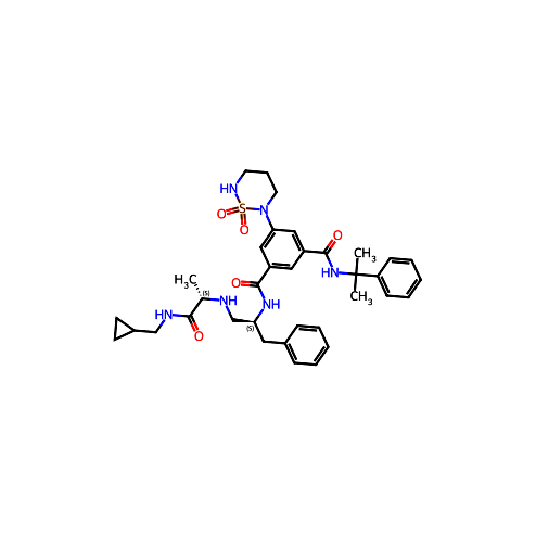 C[C@H](NC[C@H](Cc1ccccc1)NC(=O)c1cc(C(=O)NC(C)(C)c2ccccc2)cc(N2CCCNS2(=O)=O)c1)C(=O)NCC1CC1